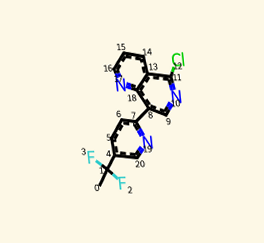 CC(F)(F)c1ccc(-c2cnc(Cl)c3cccnc23)nc1